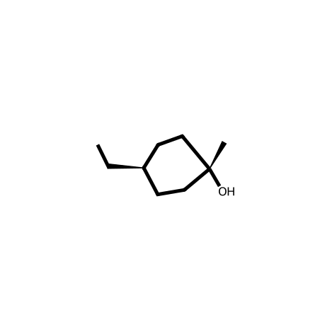 CC[C@H]1CC[C@](C)(O)CC1